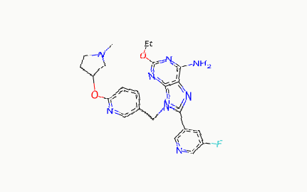 CCOc1nc(N)c2nc(-c3cncc(F)c3)n(Cc3ccc(OC4CCN(C)C4)nc3)c2n1